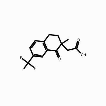 O=C(O)CC1(I)CCc2ccc(C(F)(F)F)cc2C1=O